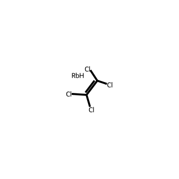 ClC(Cl)=C(Cl)Cl.[RbH]